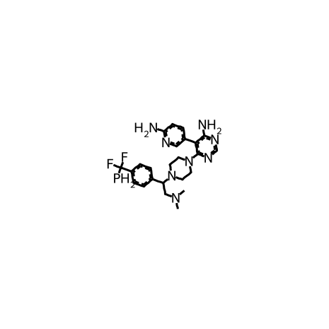 CN(C)CC(c1ccc(C(F)(F)P)cc1)N1CCN(c2ncnc(N)c2-c2ccc(N)nc2)CC1